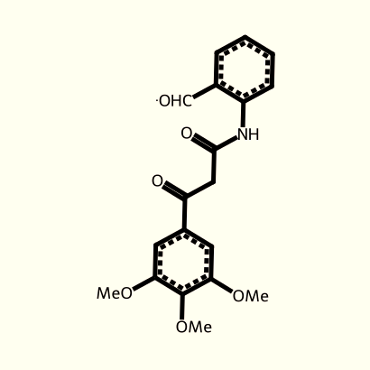 COc1cc(C(=O)CC(=O)Nc2ccccc2[C]=O)cc(OC)c1OC